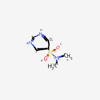 CN(C)S(=O)(=O)c1cncnc1